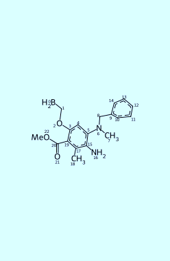 BCOc1cc(N(C)Cc2ccccc2)c(N)c(C)c1C(=O)OC